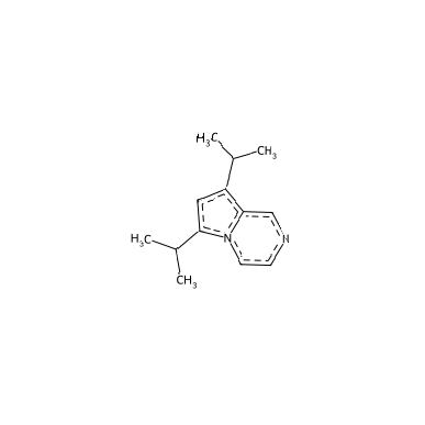 CC(C)c1cc(C(C)C)n2ccncc12